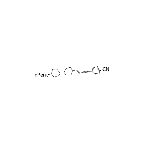 CCCCC[C@H]1CC[C@H](C2CCC(C=CC#Cc3ccc(C#N)cc3)CC2)CC1